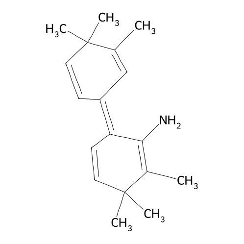 CC1=CC(=C2C=CC(C)(C)C(C)=C2N)C=CC1(C)C